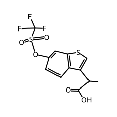 CC(C(=O)O)c1csc2cc(OS(=O)(=O)C(F)(F)F)ccc12